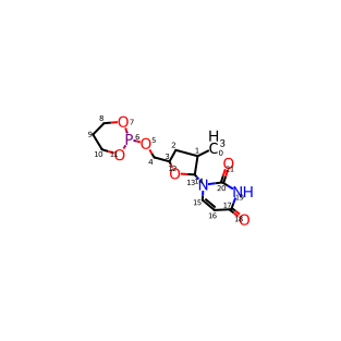 CC1CC(COP2OCCCO2)OC1n1ccc(=O)[nH]c1=O